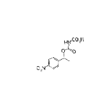 CC(OC(=O)NC(=O)O)c1ccc([N+](=O)[O-])cc1